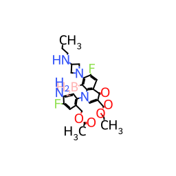 Bc1c(N2CC(NCCC)C2)c(F)cc2c(=O)c(C(=O)OCC)cn(-c3cc(N)c(F)cc3COC(C)=O)c12